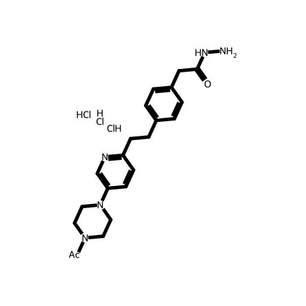 CC(=O)N1CCN(c2ccc(CCc3ccc(CC(=O)NN)cc3)nc2)CC1.Cl.Cl.Cl